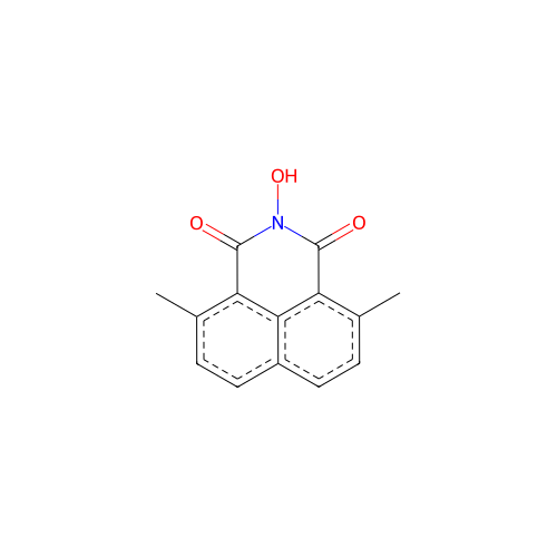 Cc1ccc2ccc(C)c3c2c1C(=O)N(O)C3=O